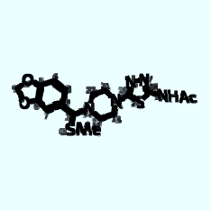 CSC(c1ccc2c(c1)OCO2)N1CCN(c2nnc(NC(C)=O)s2)CC1